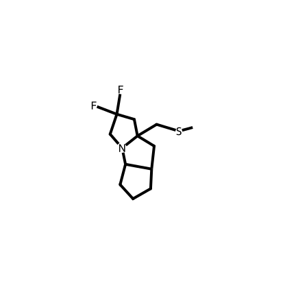 CSCC12CC3CCCC3N1CC(F)(F)C2